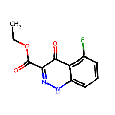 CCOC(=O)c1n[nH]c2cccc(F)c2c1=O